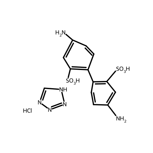 Cl.Nc1ccc(-c2ccc(N)cc2S(=O)(=O)O)c(S(=O)(=O)O)c1.c1nnn[nH]1